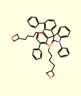 O=C1N(c2ccccc2)c2ccccc2C1(c1cccc(-c2ccccc2)c1OCCCCC1COC1)c1cccc(-c2ccccc2)c1OCCCCC1COC1